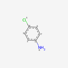 Nc1c[c]c(Cl)cc1